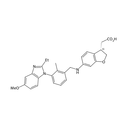 CCc1nc2cc(OC)ccc2n1-c1cccc(CNc2ccc3c(c2)OC[C@H]3CC(=O)O)c1C